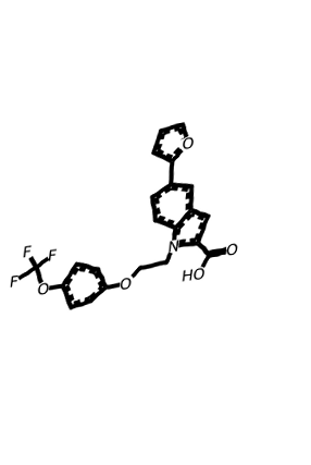 O=C(O)c1cc2cc(-c3ccco3)ccc2n1CCOc1ccc(OC(F)(F)F)cc1